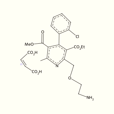 CCOC(=O)c1c(COCCN)nc(C)c(C(=O)OC)c1-c1ccccc1Cl.O=C(O)/C=C\C(=O)O